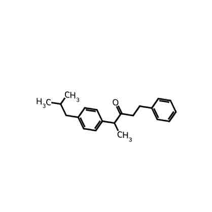 CC(C)Cc1ccc(C(C)C(=O)CCc2ccccc2)cc1